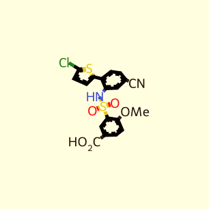 COc1ccc(C(=O)O)cc1S(=O)(=O)Nc1cc(C#N)ccc1-c1ccc(Cl)s1